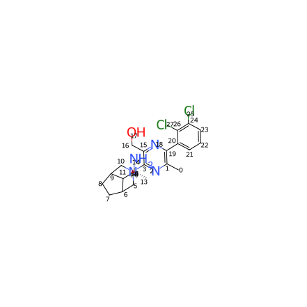 Cc1nc(N2CC3CCC(C2)C3[C@@H](C)N)c(CO)nc1-c1cccc(Cl)c1Cl